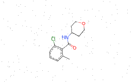 Cc1cccc(Cl)c1C(=O)NC1CCOCC1